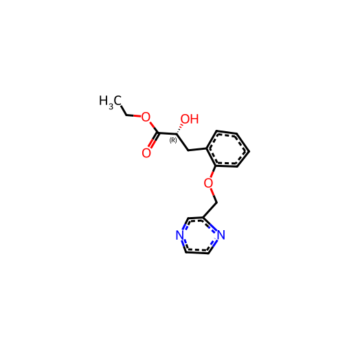 CCOC(=O)[C@H](O)Cc1ccccc1OCc1cnccn1